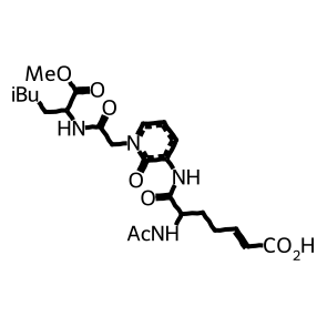 CCC(C)CC(NC(=O)Cn1cccc(NC(=O)C(CCC=CC(=O)O)NC(C)=O)c1=O)C(=O)OC